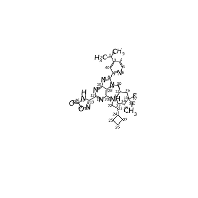 CC(C)c1ccnc(-c2nc3nc(-c4noc(=O)[nH]4)nc(NCCC4CCC4)c3n2C[C@@H]2CC[C@@H](C)C(F)(F)C2)c1